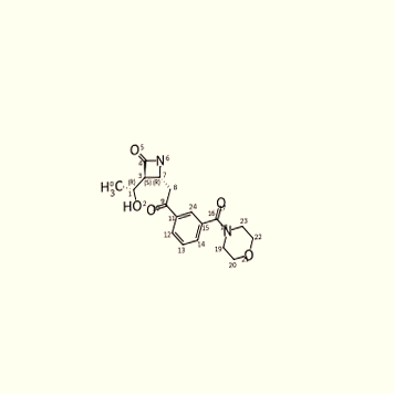 C[C@@H](O)[C@H]1C(=O)[N][C@@H]1CC(=O)c1cccc(C(=O)N2CCOCC2)c1